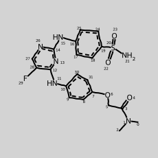 CN(C)C(=O)COc1ccc(Nc2nc(Nc3ccc(S(N)(=O)=O)cc3)ncc2F)cc1